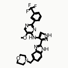 COc1cnc(-c2cccc(C(F)(F)F)c2)nc1Nc1c[nH]nc1-c1nc2cc(CN3CCOCC3)ccc2[nH]1